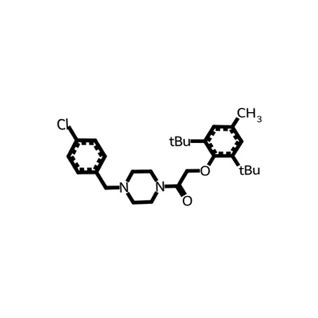 Cc1cc(C(C)(C)C)c(OCC(=O)N2CCN(Cc3ccc(Cl)cc3)CC2)c(C(C)(C)C)c1